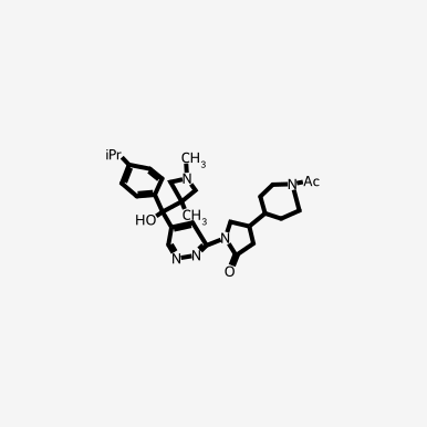 CC(=O)N1CCC(C2CC(=O)N(c3cc(C(O)(c4ccc(C(C)C)cc4)C4(C)CN(C)C4)cnn3)C2)CC1